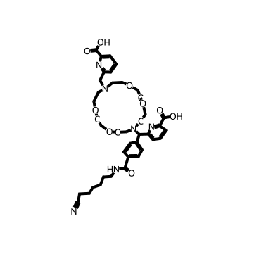 N#CCCCCCCNC(=O)c1ccc(C(c2cccc(C(=O)O)n2)N2CCOCCOCCN(Cc3cccc(C(=O)O)n3)CCOCCOCC2)cc1